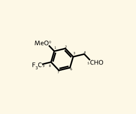 COc1cc(CC=O)ccc1C(F)(F)F